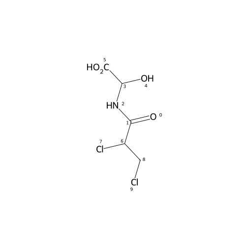 O=C(NC(O)C(=O)O)C(Cl)CCl